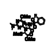 COC(=O)C(SC)N(C(=O)NS(=O)(=O)c1ccccc1F)c1nc(OC)nc(N(C)C)n1